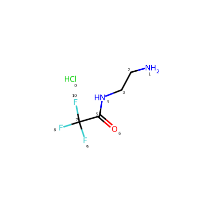 Cl.NCCNC(=O)C(F)(F)F